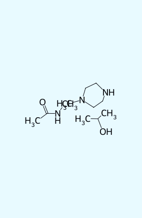 CC(C)O.CN1CCNCC1.CNC(C)=O